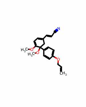 C=CCOc1ccc(C2(OC)CC(C=CC#N)=CC=C2OC)cc1